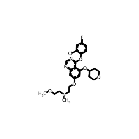 COCCN(C)CCOc1cc(OC2CCOCC2)c2c(Oc3ccc(F)cc3Cl)ncnc2c1